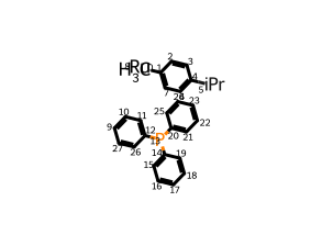 Cc1ccc(C(C)C)cc1.[Ru].c1ccc(P(c2ccccc2)c2ccccc2)cc1